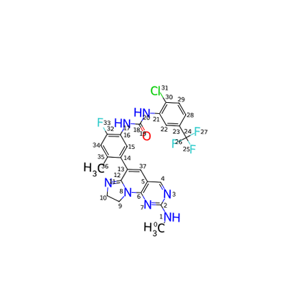 CNc1ncc2c(n1)N1CCN=C1C(c1cc(NC(=O)Nc3cc(C(F)(F)F)ccc3Cl)c(F)cc1C)=C2